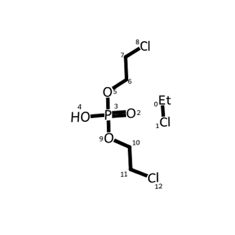 CCCl.O=P(O)(OCCCl)OCCCl